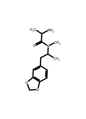 CC(N)C(=O)N(C)C(C)Cc1ccc2c(c1)OCO2